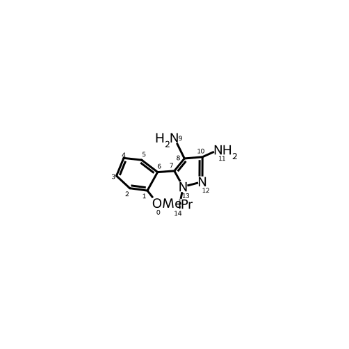 COc1ccccc1-c1c(N)c(N)nn1C(C)C